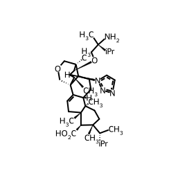 CC(C)[C@@H](C)[C@@]1(C)CC[C@]2(C)[C@H]3CC[C@H]4[C@]5(C)COC[C@]4(C3=CC[C@@]2(C)[C@@H]1C(=O)O)[C@H](C)[C@@H](n1ccnn1)[C@@H]5OC[C@](C)(N)C(C)C